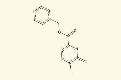 O=C(OCc1ccccc1)c1ccn(I)c(=O)n1